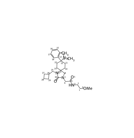 COCCNC(=O)CN1CC2(CCC(c3ccccc3)(N(C)C)CC2)N(CC2CCC2)C1=O